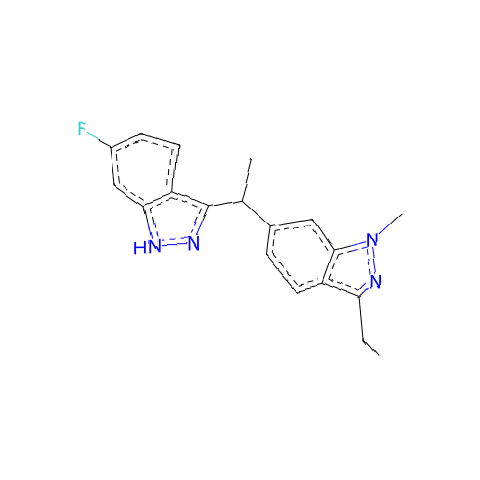 CCc1nn(C)c2cc(C(C)c3n[nH]c4cc(F)ccc34)ccc12